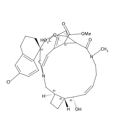 COC(=O)[C@]1(CC(=O)O)C2=CC=C3OC[C@]4(CCCc5cc(Cl)ccc54)CN(C=C2)C[C@@H]2CC[C@H]2[C@@H](O)C=CCCN(C)C(=O)C31